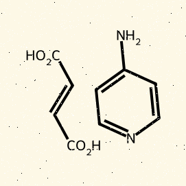 Nc1ccncc1.O=C(O)C=CC(=O)O